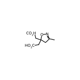 CC1=NOC(CC(=O)O)(CC(=O)O)C1